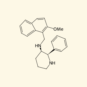 COc1ccc2ccccc2c1CN[C@@H]1CCCN[C@@H]1c1ccccc1